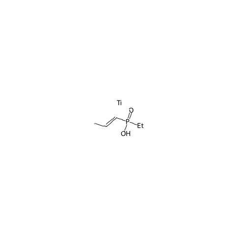 CC=CP(=O)(O)CC.[Ti]